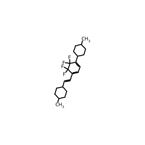 CC1CCC(/C=C/C2=CC=C(C3CCC(C)CC3)C(F)(F)C2(F)F)CC1